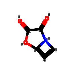 O=C1OC2=C=CN2C1=O